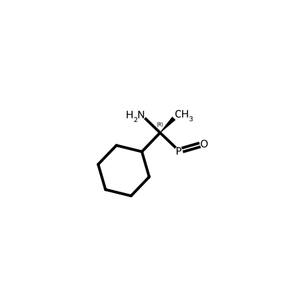 C[C@@](N)(P=O)C1CCCCC1